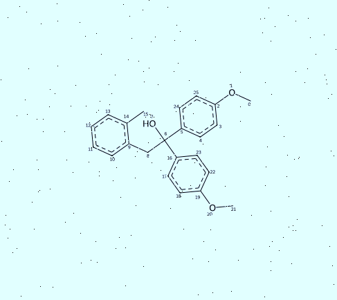 COc1ccc(C(O)(Cc2cc[c]cc2C)c2ccc(OC)cc2)cc1